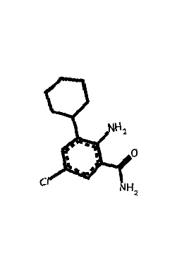 NC(=O)c1cc(Cl)cc(C2CCCCC2)c1N